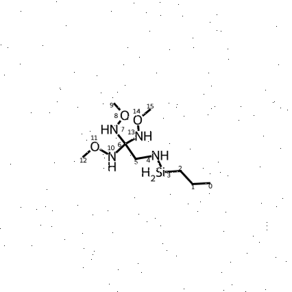 CCC[SiH2]NCC(NOC)(NOC)NOC